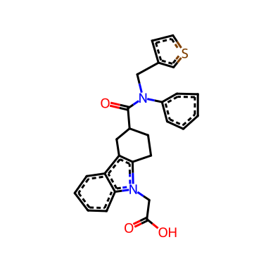 O=C(O)Cn1c2c(c3ccccc31)CC(C(=O)N(Cc1ccsc1)c1ccccc1)CC2